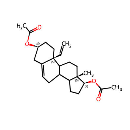 C=C[C@]12CC[C@H](OC(C)=O)CC1=CCC1C2CC[C@@]2(C)C1CC[C@@H]2OC(C)=O